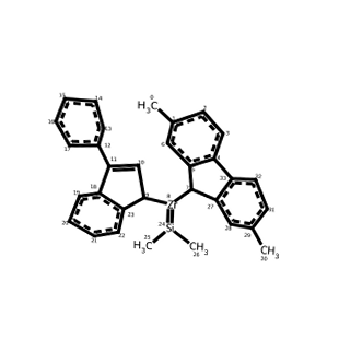 Cc1ccc2c(c1)[CH]([Zr]([CH]1C=C(c3ccccc3)c3ccccc31)=[Si](C)C)c1cc(C)ccc1-2